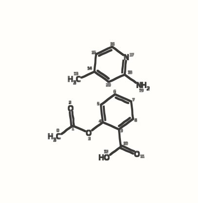 CC(=O)Oc1ccccc1C(=O)O.Cc1ccnc(N)c1